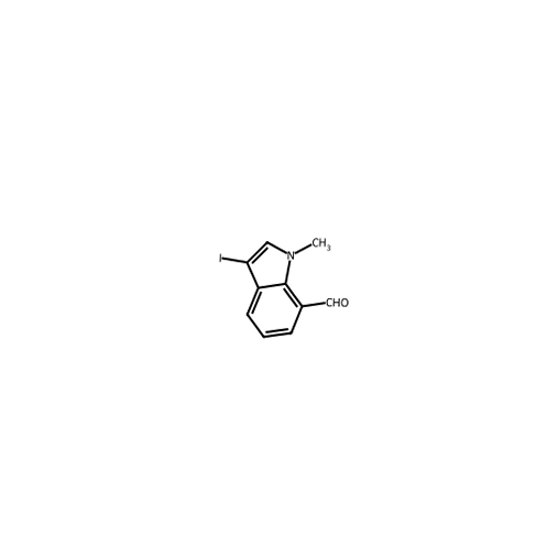 Cn1cc(I)c2cccc(C=O)c21